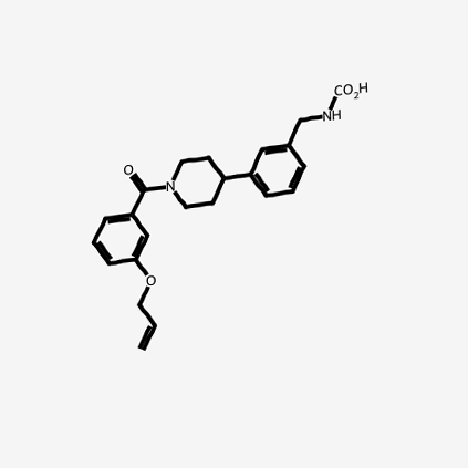 C=CCOc1cccc(C(=O)N2CCC(c3cccc(CNC(=O)O)c3)CC2)c1